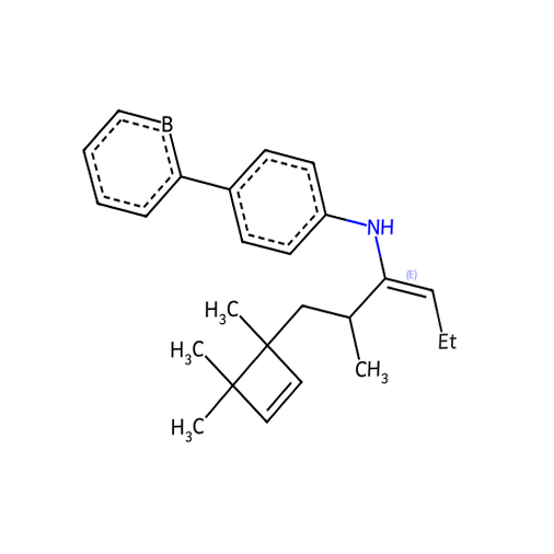 CC/C=C(/Nc1ccc(-c2bcccc2)cc1)C(C)CC1(C)C=CC1(C)C